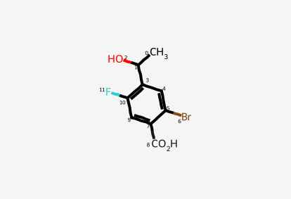 CC(O)c1cc(Br)c(C(=O)O)cc1F